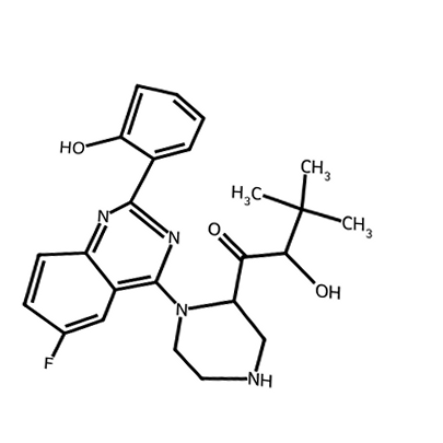 CC(C)(C)C(O)C(=O)C1CNCCN1c1nc(-c2ccccc2O)nc2ccc(F)cc12